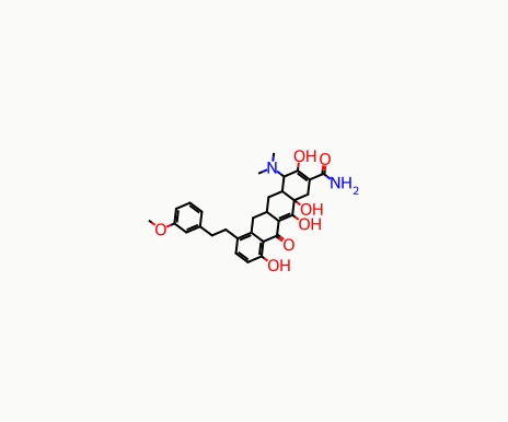 COc1cccc(CCc2ccc(O)c3c2CC2CC4C(N(C)C)C(O)=C(C(N)=O)CC4(O)C(O)=C2C3=O)c1